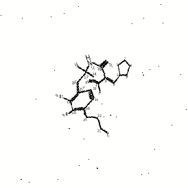 C=C(C)/C(=C/C1CCCC1)C(=C)NC(C)(C)Cc1ccc(CCCC)c(F)c1F